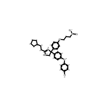 CCN(CC)CCCOc1ccc(C2(c3ccc(Oc4ccc(Cl)cc4)cc3)CNC(CCC3CCCC3)=N2)cc1